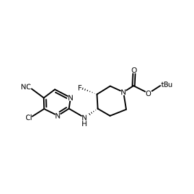 CC(C)(C)OC(=O)N1CC[C@H](Nc2ncc(C#N)c(Cl)n2)[C@H](F)C1